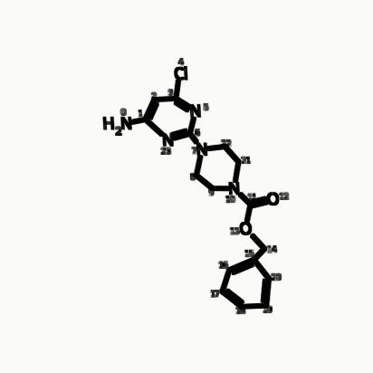 Nc1cc(Cl)nc(N2CCN(C(=O)OCc3ccccc3)CC2)n1